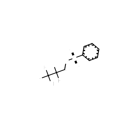 O=S(=O)(OCC(F)(F)C(F)(F)Cl)c1ccccc1